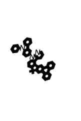 CC1(C)c2cc3c4ccccc4c4ccccc4c3cc2-c2c1ccc1c2c2cccnc2n1-c1ccc2c(c1)c1ccccc1n2-c1ccccc1